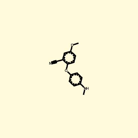 CNc1ccc(Oc2ccc(OC)cc2C#N)cc1